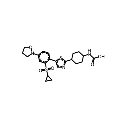 O=C(O)NC1CCC(c2ncc(-c3ccc(N4CCCO4)cc3S(=O)(=O)C3CC3)s2)CC1